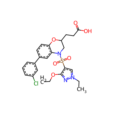 CCOc1nn(CC)cc1S(=O)(=O)N1CC(CCC(=O)O)Oc2ccc(-c3cccc(Cl)c3)cc21